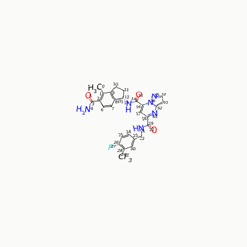 Cc1c(C(N)=O)ccc2c1CC[C@@H]2NC(=O)c1cc(C(=O)NCc2ccc(F)c(C(F)(F)F)c2)nc2ccnn12